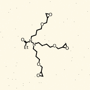 CCC(=O)N(CCCCOCC1CO1)N(CCCCOCC1CO1)CCCCOCC1CO1